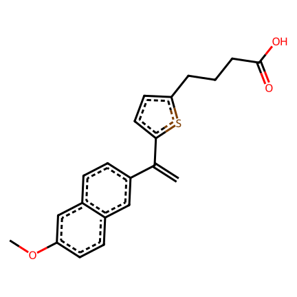 C=C(c1ccc2cc(OC)ccc2c1)c1ccc(CCCC(=O)O)s1